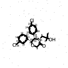 CC(C)(O)CN1C(=O)CO[C@H](c2cccc(Cl)c2)[C@@H]1c1ccc(Cl)cc1